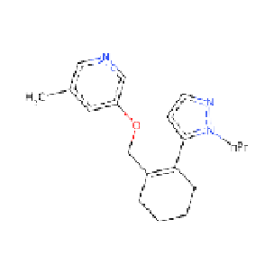 CCCn1nccc1C1=C(COc2cncc(C)c2)CCCC1